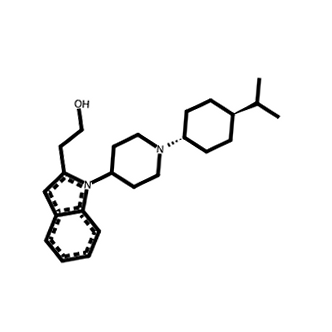 CC(C)[C@H]1CC[C@H](N2CCC(n3c(CCO)cc4ccccc43)CC2)CC1